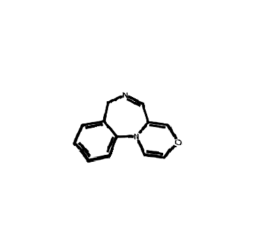 C1=CN2C(=CO1)C=NCc1ccccc12